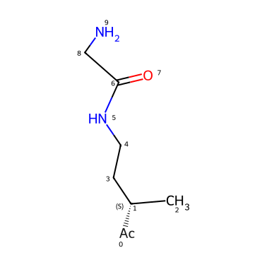 CC(=O)[C@@H](C)CCNC(=O)CN